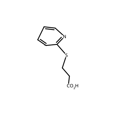 O=C(O)CCSc1[c]cccn1